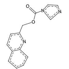 O=C(OCc1ccc2ccccc2n1)n1ccnc1